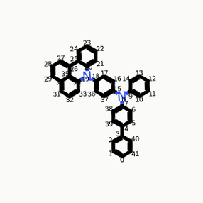 c1ccc(-c2ccc(N(c3ccccc3)c3ccc(N4c5ccccc5-c5cccc6cccc4c56)cc3)cc2)cc1